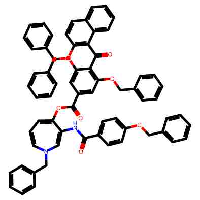 O=C(NC1=CN(Cc2ccccc2)C=CC=C1OC(=O)c1cc(OCc2ccccc2)c(C(=O)c2c(OCc3ccccc3)ccc3ccccc23)c(OCc2ccccc2)c1)c1ccc(OCc2ccccc2)cc1